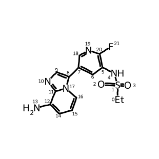 CCS(=O)(=O)Nc1cc(-c2cnc3c(N)cccn23)cnc1F